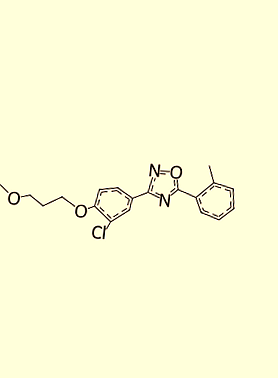 COCCCOc1ccc(-c2noc(-c3ccccc3C)n2)cc1Cl